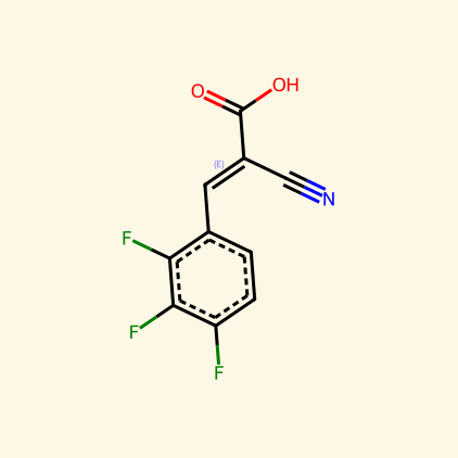 N#C/C(=C\c1ccc(F)c(F)c1F)C(=O)O